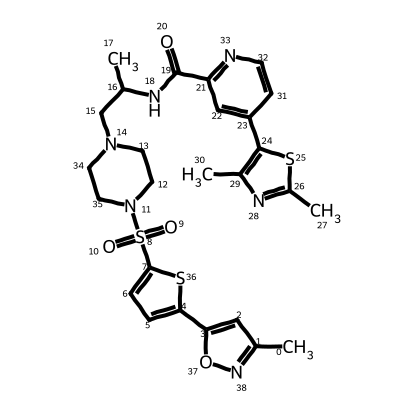 Cc1cc(-c2ccc(S(=O)(=O)N3CCN(CC(C)NC(=O)c4cc(-c5sc(C)nc5C)ccn4)CC3)s2)on1